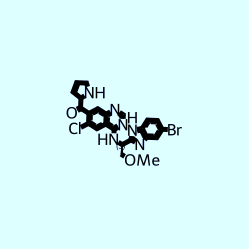 COC[C@@H](Nc1ncnc2cc(C(=O)C3C=CCN3)c(Cl)cc12)c1nc2cc(Br)ccc2[nH]1